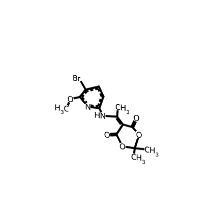 COc1nc(NC(C)=C2C(=O)OC(C)(C)OC2=O)ccc1Br